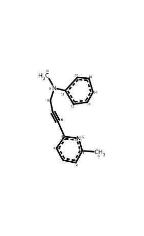 Cc1cccc(C#CCN(C)c2ccccc2)n1